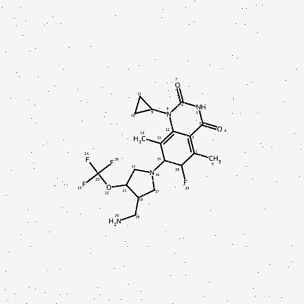 CC1=c2c(=O)[nH]c(=O)n(C3CC3)c2=C(C)C(N2CC(CN)C(OC(F)(F)F)C2)C1F